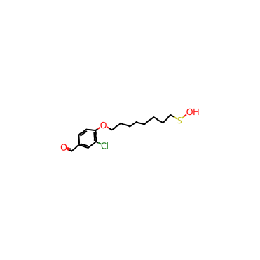 O=Cc1ccc(OCCCCCCCCSO)c(Cl)c1